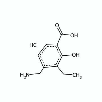 CCc1c(CN)ccc(C(=O)O)c1O.Cl